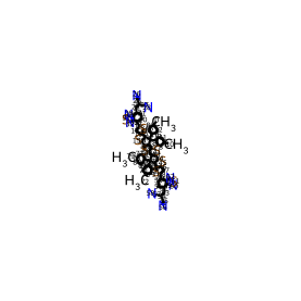 Cc1ccc(C2(c3ccc(C)cc3)c3c(sc4cc(-c5ccc(C=C(C#N)C#N)c6nsnc56)sc34)-c3sc4c5c(sc4c32)-c2sc3cc(-c4ccc(C=C(C#N)C#N)c6nsnc46)sc3c2C5(c2ccc(C)cc2)c2ccc(C)cc2)cc1